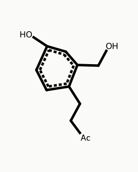 CC(=O)CCc1ccc(O)cc1CO